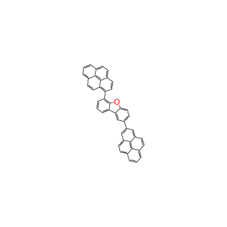 c1cc2ccc3cc(-c4ccc5oc6c(-c7ccc8ccc9cccc%10ccc7c8c9%10)cccc6c5c4)cc4ccc(c1)c2c34